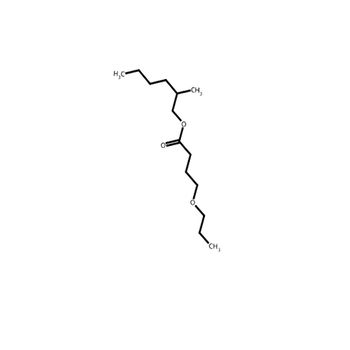 CCCCC(C)COC(=O)CCCOCCC